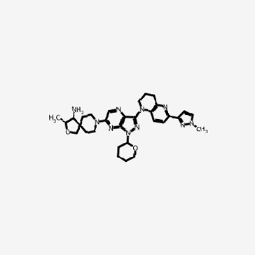 C[C@@H]1OCC2(CCN(c3cnc4c(N5CCCc6nc(-c7ccn(C)n7)ccc65)nn(C5CCCCO5)c4n3)CC2)[C@@H]1N